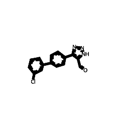 O=Cc1[nH]nnc1-c1ccc(-c2cccc(Cl)c2)cc1